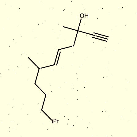 C#CC(C)(O)CC=CC(C)CCCC(C)C